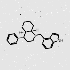 c1ccc([C@H]2CCN(Cc3cccc4[nH]ccc34)[C@@H]3CCCC[C@H]23)cc1